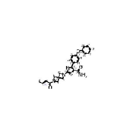 C/C=C/C(=O)N1CC2(C1)CN(c1nc(-c3ccc(Oc4ccccc4)cc3)c(C(N)=O)s1)C2